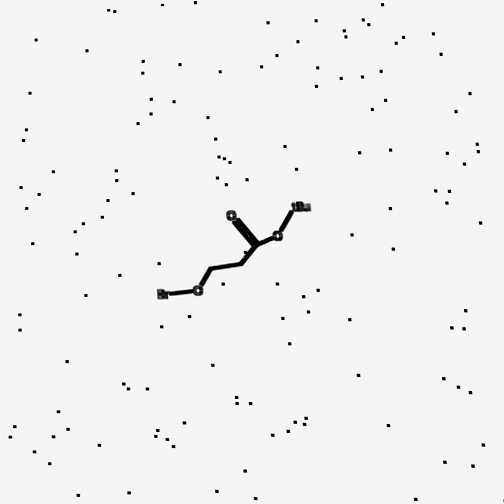 CC(C)(C)OC(=O)CCOBr